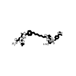 Cc1ncsc1-c1ccc(CNC(=O)[C@@H]2C[C@@H](O)CN2C(=O)[C@@H](NC(=O)CCCCCCc2ccc(CO[C@H](C)[C@H](CCC(N)=O)NC(=O)OC(C)(C)C)cc2)C(C)(C)C)cc1